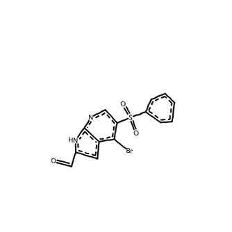 O=Cc1cc2c(Br)c(S(=O)(=O)c3ccccc3)cnc2[nH]1